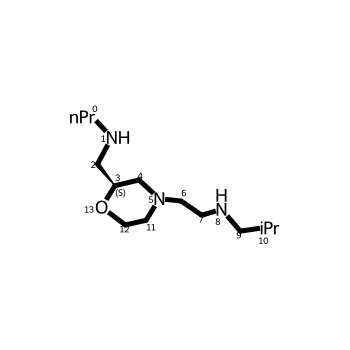 CCCNC[C@H]1CN(CCNCC(C)C)CCO1